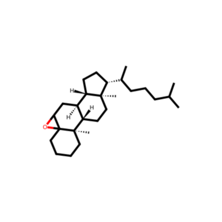 CC(C)CCCC(C)[C@H]1CC[C@H]2[C@@H]3CC4OC45CCCC[C@]5(C)[C@H]3CC[C@]12C